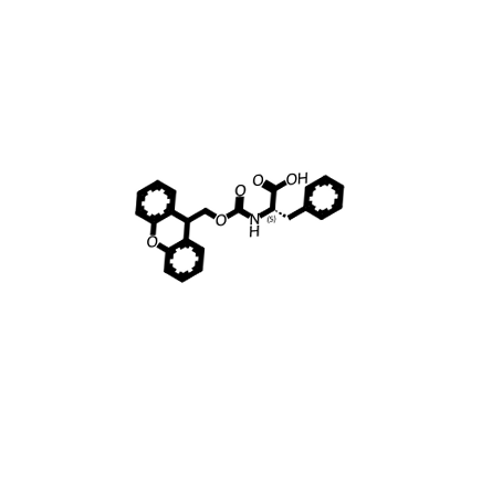 O=C(N[C@@H](Cc1ccccc1)C(=O)O)OCC1c2ccccc2Oc2ccccc21